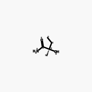 CC[C@@](C)(O)C(N)=O